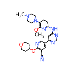 COC1=C(N2CCN(C)CC2)CCC(Nc2cc(-c3cnc(OC4CCOCC4)c(C#N)c3)ncn2)=N1